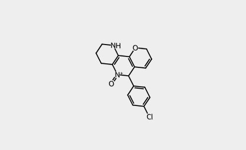 O=[N+]1C2=C(NCCC2)C2=C(C=CCO2)C1c1ccc(Cl)cc1